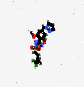 COc1cc(Cn2cccn2)cc2onc(NS(=O)(=O)CCC3CC3(F)F)c12